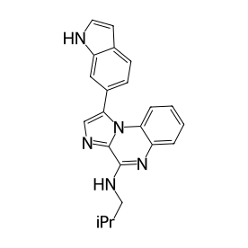 CC(C)CNc1nc2ccccc2n2c(-c3ccc4cc[nH]c4c3)cnc12